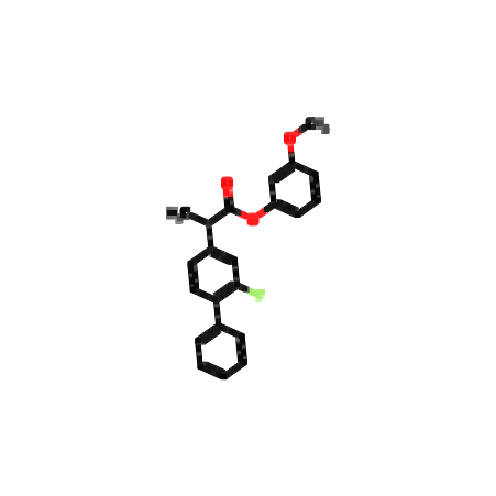 COc1cccc(OC(=O)C(C)c2ccc(-c3ccccc3)c(F)c2)c1